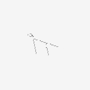 CCCCCCCCCCCCC(CCCOC(=O)CCCCC(COC(=O)CCCCCCC)COC(=O)CCCCCCC)OC(=O)C1(C)CCN(C)CC1